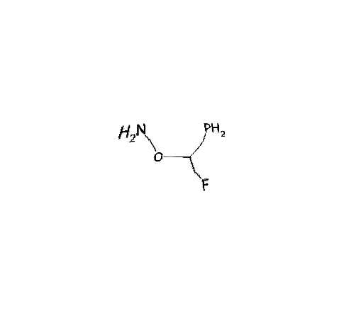 NOC(F)P